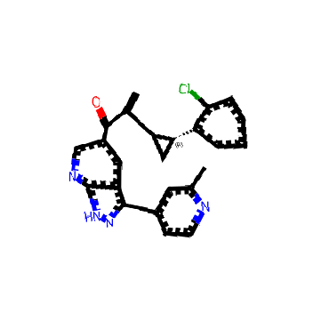 C=C(C(=O)c1cnc2[nH]nc(-c3ccnc(C)c3)c2c1)C1C[C@H]1c1ccccc1Cl